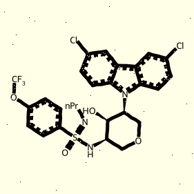 CCCN=S(=O)(N[C@@H]1COC[C@H](n2c3ccc(Cl)cc3c3cc(Cl)ccc32)[C@@H]1O)c1ccc(OC(F)(F)F)cc1